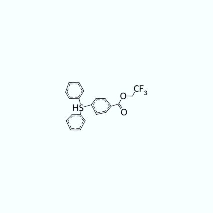 O=C(OCC(F)(F)F)c1ccc([SH](c2ccccc2)c2ccccc2)cc1